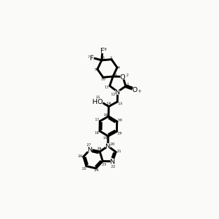 O=C1OC2(CCC(F)(F)CC2)CN1CC(O)c1ccc(-n2cnc3cccnc32)cc1